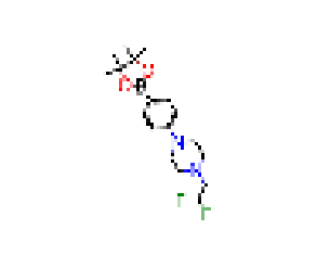 CC1(C)OB(c2ccc(N3CCN(CC(F)F)CC3)cc2)OC1(C)C